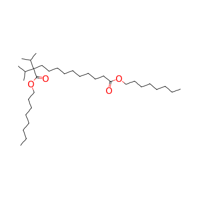 CCCCCCCCOC(=O)CCCCCCCCCC(C(=O)OCCCCCCCC)(C(C)C)C(C)C